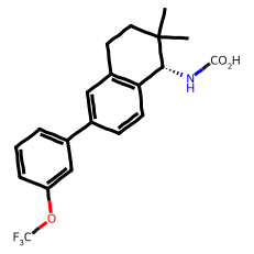 CC1(C)CCc2cc(-c3cccc(OC(F)(F)F)c3)ccc2[C@H]1NC(=O)O